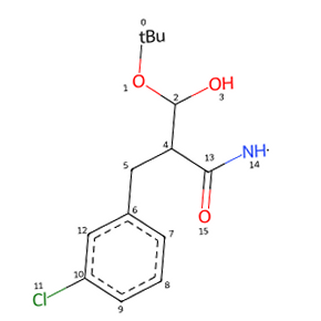 CC(C)(C)OC(O)C(Cc1cccc(Cl)c1)C([NH])=O